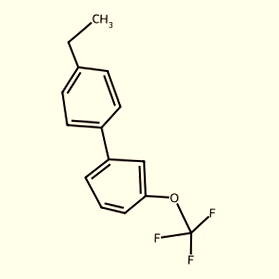 CCc1ccc(-c2cccc(OC(F)(F)F)c2)cc1